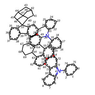 c1ccc(-n2c3ccccc3c3ccc(-c4cccc(N(c5ccccc5-c5ccc6c(c5)C5(c7ccccc7-6)C6CC7CC8CC5C86C7)c5ccccc5-c5cccc6cccc(C7CCCCC7)c56)c4)cc32)cc1